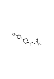 CC(CCNC(C)(C)C)c1ccc(-c2ccc(Cl)cc2)cc1